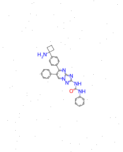 NC1(c2ccc(-c3nc4nc(NC(=O)Nc5ccccc5)nn4cc3-c3ccccc3)cc2)CCC1